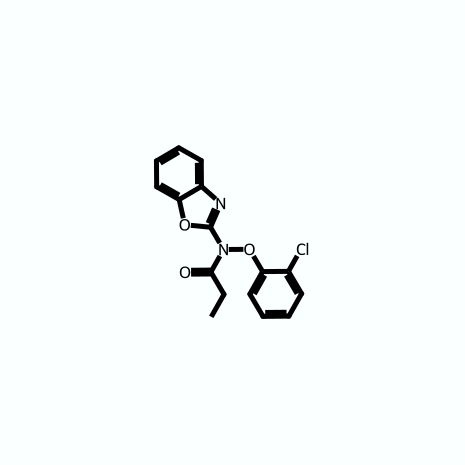 CCC(=O)N(Oc1ccccc1Cl)c1nc2ccccc2o1